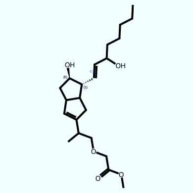 CCCCCC(O)/C=C/[C@@H]1C2CC(C(C)COCC(=O)OC)=CC2C[C@H]1O